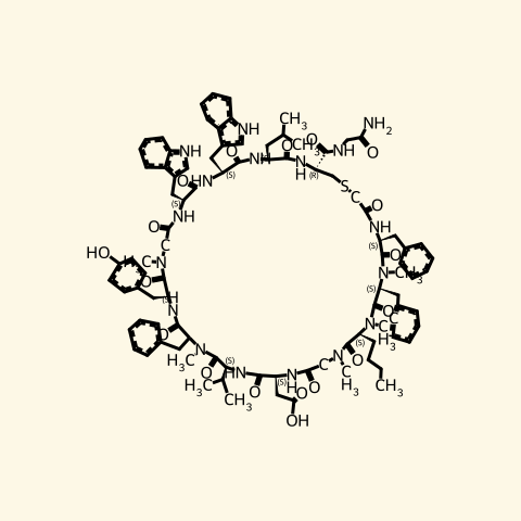 CCCC[C@H]1C(=O)N(C)CC(=O)N[C@@H](CC(=O)O)C(=O)N[C@@H](C(C)C)C(=O)N(C)C(Cc2ccccc2)C(=O)N[C@@H](Cc2ccc(O)cc2)C(=O)N(C)CC(=O)N[C@@H](Cc2c[nH]c3ccccc23)C(=O)N[C@@H](Cc2c[nH]c3ccccc23)C(=O)N[C@@H](CC(C)C)C(=O)N[C@H](C(=O)NCC(N)=O)CSCC(=O)N[C@@H](Cc2ccccc2)C(=O)N(C)[C@@H](Cc2ccccc2)C(=O)N1C